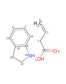 C=CCC(=O)O.c1ccc2c(c1)CCN2